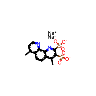 Cc1ccnc2c1ccc1c(C)c(S(=O)(=O)[O-])c(S(=O)(=O)[O-])nc12.[Na+].[Na+]